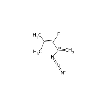 CC(C)=C(F)[C@@H](C)N=[N+]=[N-]